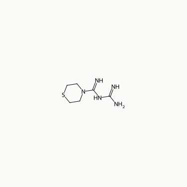 N=C(N)NC(=N)N1CCSCC1